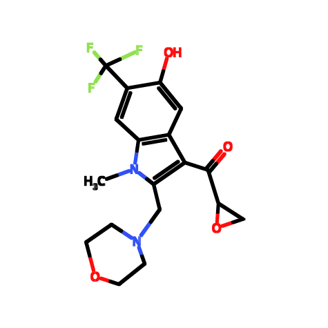 Cn1c(CN2CCOCC2)c(C(=O)C2CO2)c2cc(O)c(C(F)(F)F)cc21